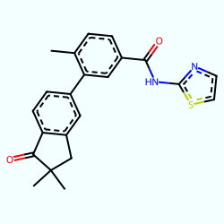 Cc1ccc(C(=O)Nc2nccs2)cc1-c1ccc2c(c1)CC(C)(C)C2=O